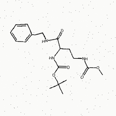 COC(=O)NCCC(NC(=O)OC(C)(C)C)C(=O)NCc1ccccc1